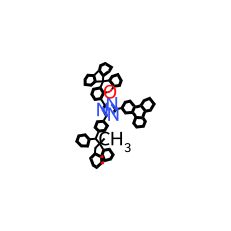 CC(Cc1ccccc1)(c1ccccc1)C(c1ccccc1)c1ccc(-c2nc(-c3ccc4c5ccccc5c5ccccc5c4c3)nc(-c3cccc4c3Oc3ccccc3C43c4ccccc4-c4ccccc43)n2)cc1